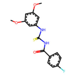 COc1cc(NC(=S)NC(=O)c2ccc(F)cc2)cc(OC)c1